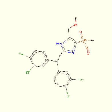 COCc1[nH]c(C(c2ccc(F)c(Cl)c2)c2ccc(F)c(Cl)c2)nc1S(C)(=O)=O